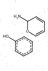 NC1C=CC=CO1.Oc1ccccc1